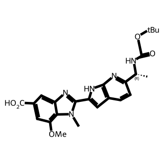 COc1cc(C(=O)O)cc2nc(-c3cc4ccc([C@@H](C)NC(=O)OC(C)(C)C)nc4[nH]3)n(C)c12